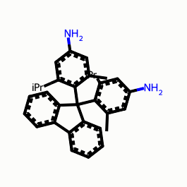 Cc1cc(N)cc(C(C)C)c1C1(c2c(C)cc(N)cc2C(C)C)c2ccccc2-c2ccccc21